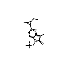 CCC1C(C)C1c1ccc2c(n1)n(C)c(=O)n2CC(C)(C)C